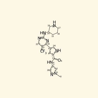 Cn1cc(NC(=O)c2cc(-c3nc(NC4CCCNC4)ncc3C(F)(F)F)c[nH]2)cn1